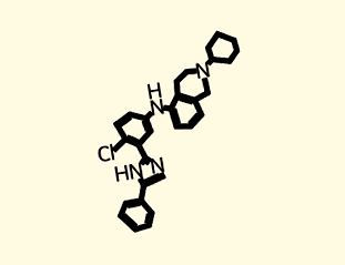 Clc1ccc(Nc2cccc3c2CCN(C2CCCCC2)C3)cc1-c1ncc(-c2ccccc2)[nH]1